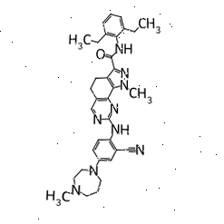 CCc1cccc(CC)c1NC(=O)c1nn(C)c2c1CCc1cnc(Nc3ccc(N4CCCN(C)CC4)cc3C#N)nc1-2